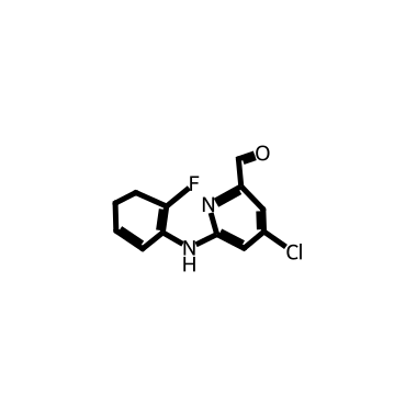 O=Cc1cc(Cl)cc(NC2=C(F)CCC=C2)n1